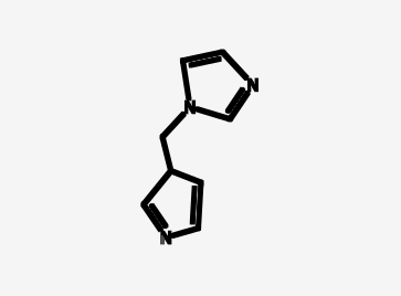 C1=CC(Cn2ccnc2)C=N1